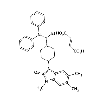 CCC(N1CCC(n2c(=O)n(C)c3cc(C)c(C)cc32)CC1)N(c1ccccc1)c1ccccc1.O=C(O)C=CC(=O)O